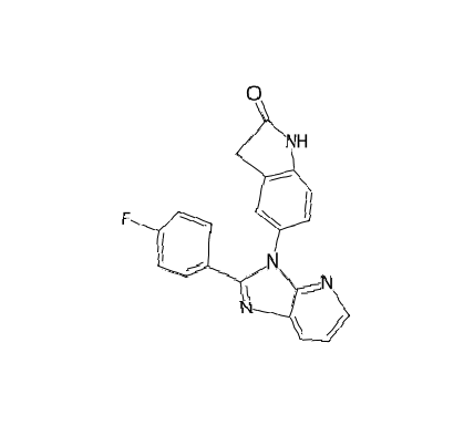 O=C1Cc2cc(-n3c(-c4ccc(F)cc4)nc4cccnc43)ccc2N1